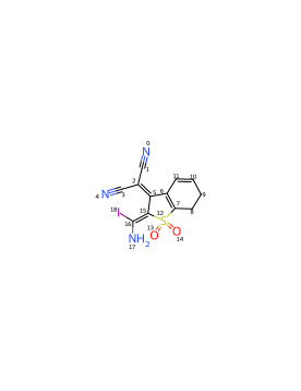 N#CC(C#N)=C1C2=C(CCC=C2)S(=O)(=O)/C1=C(\N)I